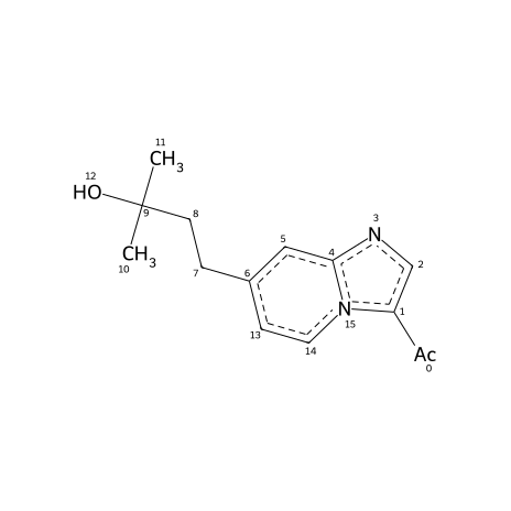 CC(=O)c1cnc2cc(CCC(C)(C)O)ccn12